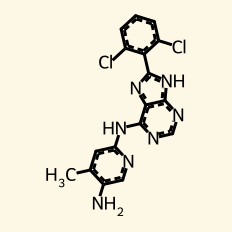 Cc1cc(Nc2ncnc3[nH]c(-c4c(Cl)cccc4Cl)nc23)ncc1N